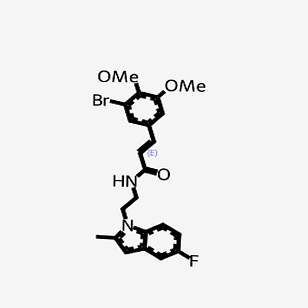 COc1cc(/C=C/C(=O)NCCn2c(C)cc3cc(F)ccc32)cc(Br)c1OC